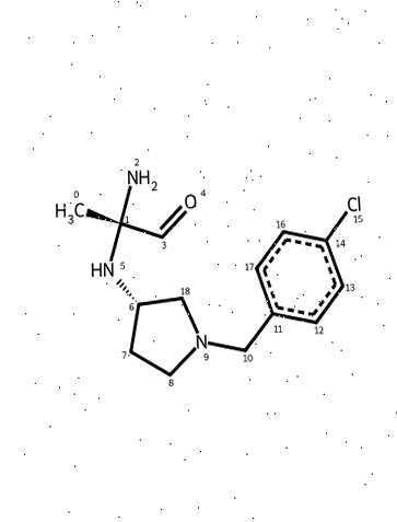 C[C@@](N)(C=O)N[C@H]1CCN(Cc2ccc(Cl)cc2)C1